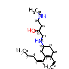 C=CC1=C(/C=C\CCC)CC(NCC(O)CCNC)CC1